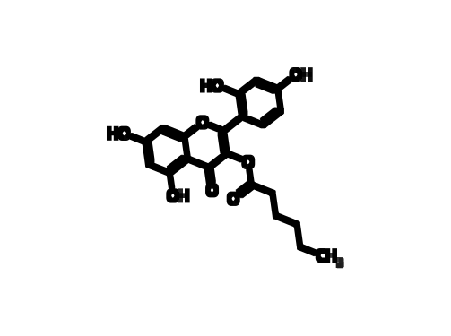 CCCCCC(=O)Oc1c(-c2ccc(O)cc2O)oc2cc(O)cc(O)c2c1=O